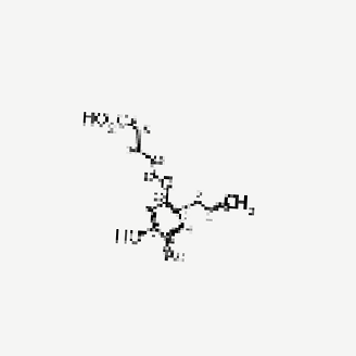 C=CCc1cc(C(C)=O)c(O)cc1OCCCCC(=O)O